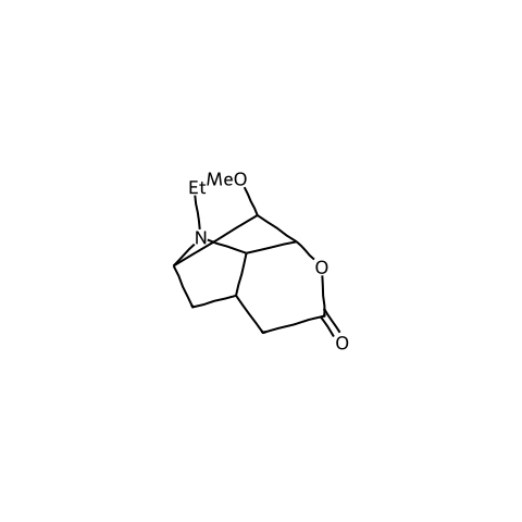 CCN1C2CC3CC(=O)OC(C2OC)C31